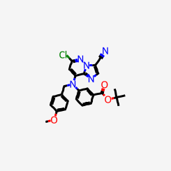 COc1ccc(CN(c2cccc(C(=O)OC(C)(C)C)c2)c2cc(Cl)nn3c(C#N)cnc23)cc1